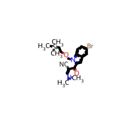 CN(C)/C=C(/C#N)C(=O)c1cc2cc(Br)ccc2n1COCC[Si](C)(C)C